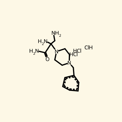 Cl.Cl.Cl.NCC(N)(C(N)=O)N1CCN(Cc2ccccc2)CC1